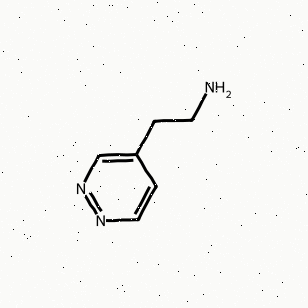 NCCc1ccnnc1